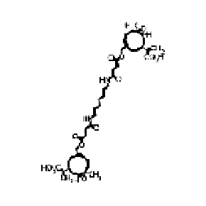 C=C(C(=O)O)[C@@H]1CC/C(COC(=O)CCC(=O)NCCCCCCCNC(=O)CCC(=O)OC/C2=C/CC[C@@]3(C)O[C@H]3C[C@H](C(=C)C(=O)O)CC2)=C\CC[C@@]2(C)O[C@H]2C1